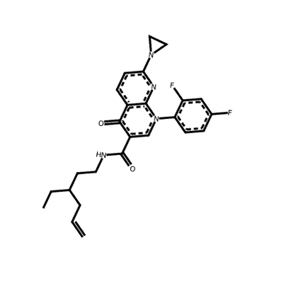 C=CCC(CC)CCNC(=O)c1cn(-c2ccc(F)cc2F)c2nc(N3CC3)ccc2c1=O